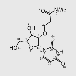 CNC(=O)CCO[C@H]1C(O)[C@@H](CO)O[C@H]1n1ccc(=O)[nH]c1=O